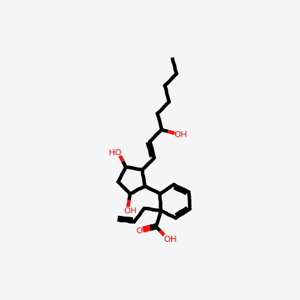 C=CCC1(C(=O)O)C=CC=CC1C1C(O)CC(O)C1C=CC(O)CCCCC